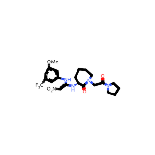 COc1cc(NC(=C[N+](=O)[O-])N[C@H]2CCCCN(CC(=O)N3CCCC3)C2=O)cc(C(F)(F)F)c1